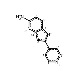 Nc1ccc2nc(-c3ccnnc3)cn2n1